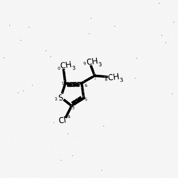 Cc1sc(Cl)cc1C(C)C